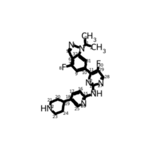 CC(C)n1ncc2c(F)cc(-c3nc(Nc4ccc(C5CCNCC5)cn4)ncc3F)cc21